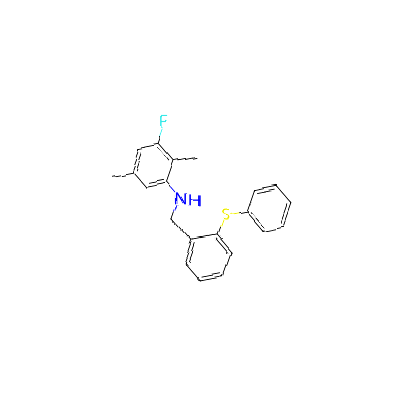 Cc1cc(F)c(C)c(NCc2ccccc2Sc2ccccc2)c1